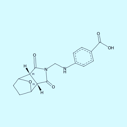 O=C(O)c1ccc(NCN2C(=O)[C@@H]3C4CCC(O4)[C@@H]3C2=O)cc1